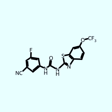 N#Cc1cc(F)cc(NC(=O)Nc2nc3ccc(OC(F)(F)F)cc3s2)c1